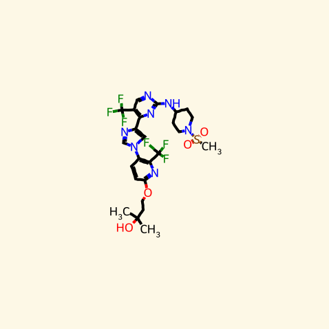 CC(C)(O)CCOc1ccc(-n2cnc(-c3nc(NC4CCN(S(C)(=O)=O)CC4)ncc3C(F)(F)F)c2)c(C(F)(F)F)n1